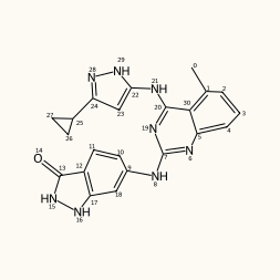 Cc1cccc2nc(Nc3ccc4c(=O)[nH][nH]c4c3)nc(Nc3cc(C4CC4)n[nH]3)c12